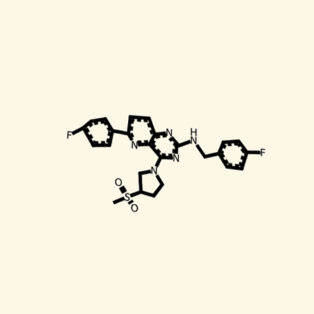 CS(=O)(=O)C1CCN(c2nc(NCc3ccc(F)cc3)nc3ccc(-c4ccc(F)cc4)nc23)C1